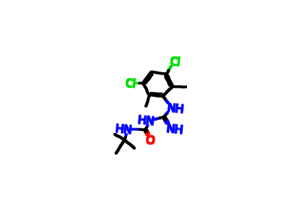 Cc1c(Cl)cc(Cl)c(C)c1NC(=N)NC(=O)NC(C)(C)C